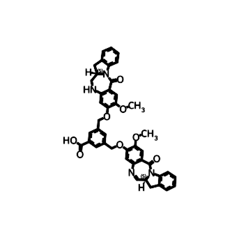 COc1cc2c(cc1OCc1cc(COc3cc4c(cc3OC)C(=O)N3c5ccccc5C[C@H]3CN4)cc(C(=O)O)c1)N=C[C@@H]1Cc3ccccc3N1C2=O